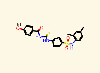 CCOc1ccc(C(=O)NC(=S)Nc2ccc(S(=O)(=O)Nc3ccc(C)cc3C)cc2)cc1